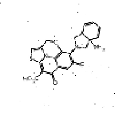 NC12C=CC=CC1CN(c1c(F)cc3c(=O)c(C(=O)O)c4scc5n4c3c1OC5)C2